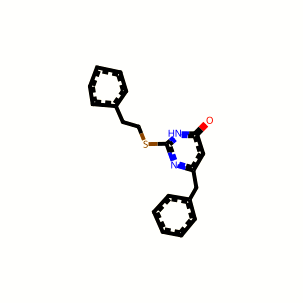 O=c1cc(Cc2ccccc2)nc(SCCc2ccccc2)[nH]1